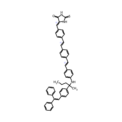 CCCC(C)(Nc1ccc(/C=C/c2ccc(/C=C/c3ccc(/C=C4\NC(=S)NC4=O)cc3)cc2)cc1)c1ccc(C=C(c2ccccc2)c2ccccc2)cc1